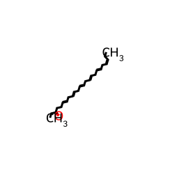 CC/C=C\C/C=C/C/C=C/C/C=C/C/C=C/C/C=C/CCC(=O)CC